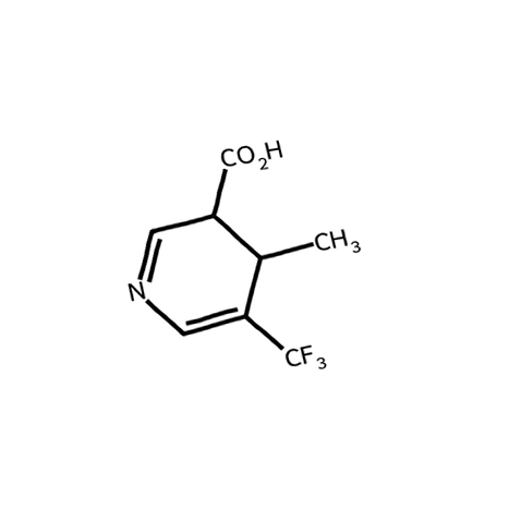 CC1C(C(F)(F)F)=CN=CC1C(=O)O